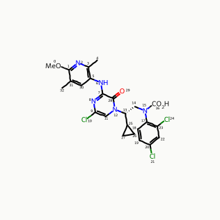 COc1nc(C)c(Nc2nc(Cl)cn([C@H](CN(C(=O)O)c3ccc(Cl)cc3Cl)C3CC3)c2=O)cc1C